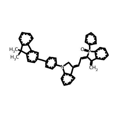 C=C1/C(=C\C=C2/CN(c3ccc(-c4ccc5c(c4)-c4ccccc4C5(C)C)cc3)c3ccccc32)P(=O)(c2ccccc2)c2ccccc21